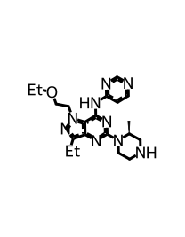 CCOCCn1nc(CC)c2nc(N3CCNC[C@@H]3C)nc(Nc3ccncn3)c21